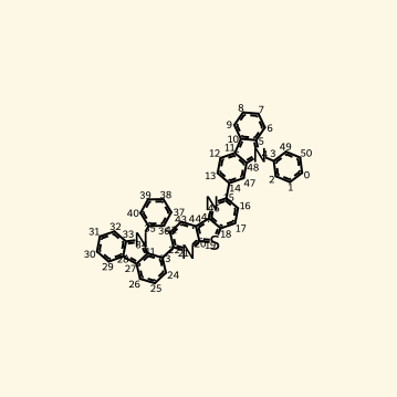 c1ccc(-n2c3ccccc3c3ccc(-c4ccc5sc6nc(-c7cccc8c9ccccc9n(-c9ccccc9)c78)ccc6c5n4)cc32)cc1